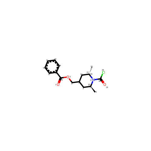 C[C@H]1CC(COC(=O)c2ccccc2)C[C@H](C)N1C(=O)Cl